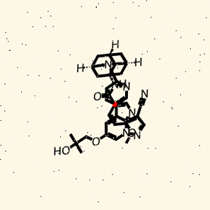 COc1ccc(C(=O)N[C@]23C[C@@H]4C[C@H](C2)N(c2ccc(-c5cc(OCC(C)(C)O)cn6ncc(C#N)c56)cn2)[C@@H](C4)C3)cn1